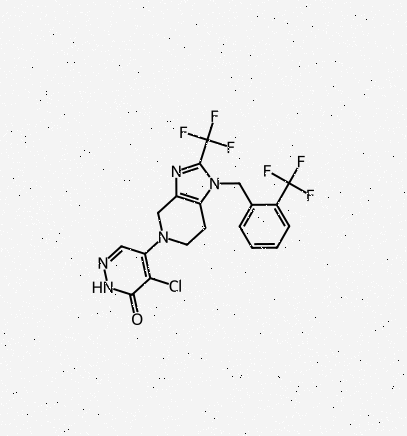 O=c1[nH]ncc(N2CCc3c(nc(C(F)(F)F)n3Cc3ccccc3C(F)(F)F)C2)c1Cl